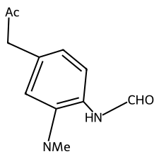 CNc1cc(CC(C)=O)ccc1NC=O